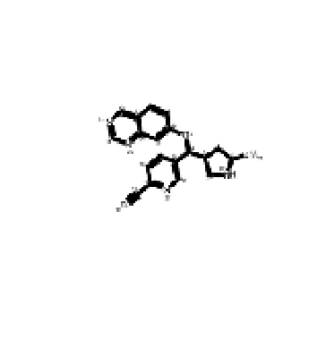 CC1CC(C(Oc2ccc3cncnc3c2)c2ccc(C#N)nc2)CN1